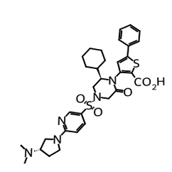 CN(C)[C@H]1CCN(c2ccc(S(=O)(=O)N3CC(=O)N(c4cc(-c5ccccc5)sc4C(=O)O)[C@H](C4CCCCC4)C3)cn2)C1